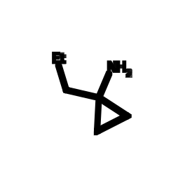 CCCC1(N)CC1